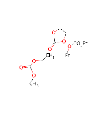 CCOC(=O)OC.CCOC(=O)OCC.O=C1OCCO1